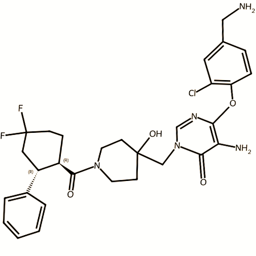 NCc1ccc(Oc2ncn(CC3(O)CCN(C(=O)[C@@H]4CCC(F)(F)C[C@H]4c4ccccc4)CC3)c(=O)c2N)c(Cl)c1